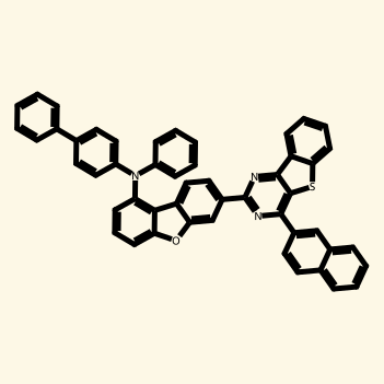 c1ccc(-c2ccc(N(c3ccccc3)c3cccc4oc5cc(-c6nc(-c7ccc8ccccc8c7)c7sc8ccccc8c7n6)ccc5c34)cc2)cc1